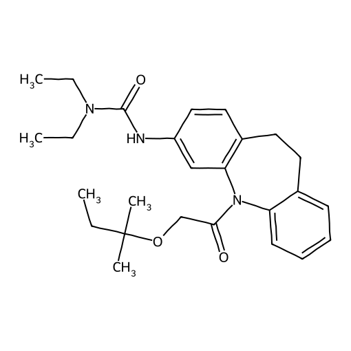 CCN(CC)C(=O)Nc1ccc2c(c1)N(C(=O)COC(C)(C)CC)c1ccccc1CC2